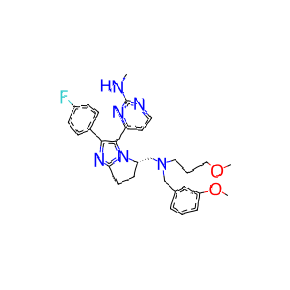 CNc1nccc(-c2c(-c3ccc(F)cc3)nc3n2[C@H](CN(CCCOC)Cc2cccc(OC)c2)CC3)n1